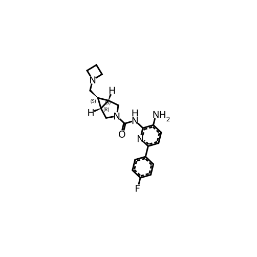 Nc1ccc(-c2ccc(F)cc2)nc1NC(=O)N1C[C@@H]2[C@@H](CN3CCC3)[C@@H]2C1